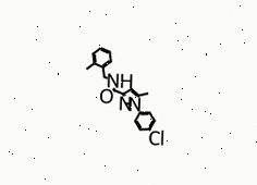 Cc1ccccc1CNC(=O)c1cc(C)n(-c2ccc(Cl)cc2)n1